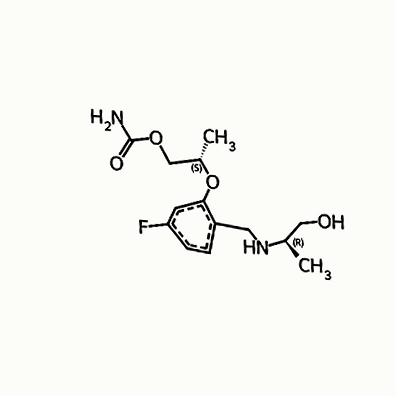 C[C@H](CO)NCc1ccc(F)cc1O[C@@H](C)COC(N)=O